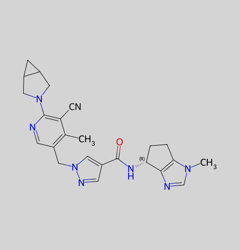 Cc1c(Cn2cc(C(=O)N[C@@H]3CCc4c3ncn4C)cn2)cnc(N2CC3CC3C2)c1C#N